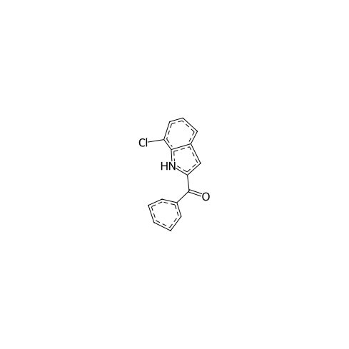 O=C(c1ccccc1)c1cc2cccc(Cl)c2[nH]1